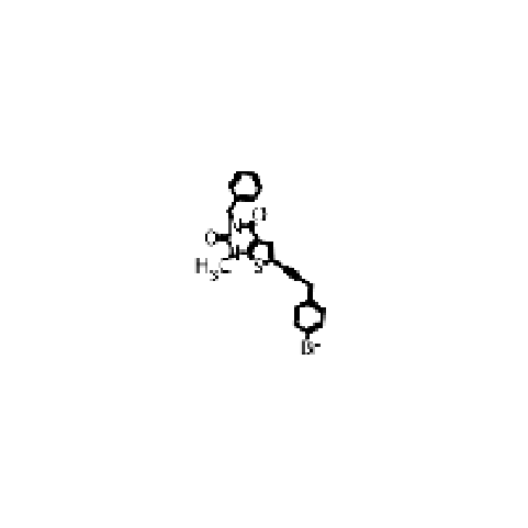 Cn1c(=O)n(Cc2ccccc2)c(=O)c2cc(C#CCc3ccc(Br)cc3)sc21